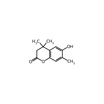 Cc1cc2c(cc1O)C(C)(C)CC(=O)O2